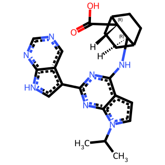 CC(C)n1ccc2c(N[C@@H]3C4CCC(CC4)[C@H]3C(=O)O)nc(-c3c[nH]c4ncncc34)nc21